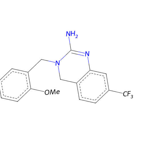 COc1ccccc1CN1Cc2ccc(C(F)(F)F)cc2N=C1N